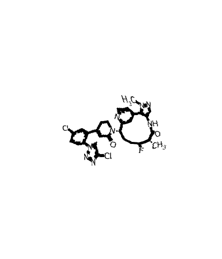 C[C@H]1C(=O)Nc2cnn(C)c2-c2ccnc(c2)[C@@H](N2CCC(c3cc(Cl)ccc3-n3cc(Cl)nn3)=CC2=O)CCC1F